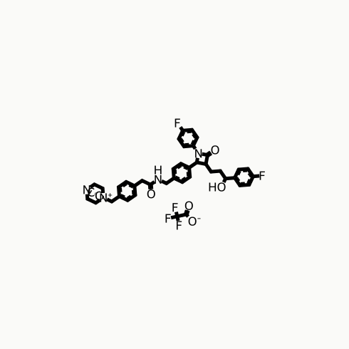 O=C(Cc1ccc(C[N+]23CCN(CC2)CC3)cc1)NCc1ccc(C2C(CCC(O)c3ccc(F)cc3)C(=O)N2c2ccc(F)cc2)cc1.O=C([O-])C(F)(F)F